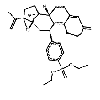 C=C(C)[C@]12CC[C@H]3[C@@H]4CCC5=CC(=O)CCC5=C4[C@@H](c4ccc(P(=O)(OCC)OCC)cc4)C[C@@]31O2